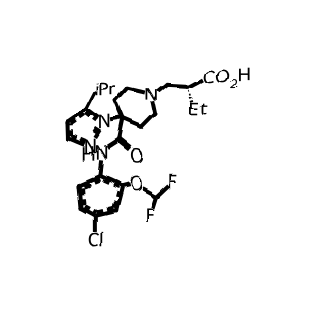 CC[C@H](CN1CCC(C(=O)Nc2ccc(Cl)cc2OC(F)F)(n2nccc2C(C)C)CC1)C(=O)O